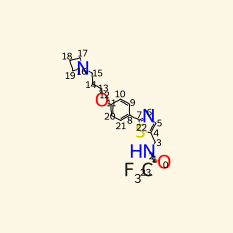 O=C(NCc1cnc(-c2ccc(OCCCN3CCC3)cc2)s1)C(F)(F)F